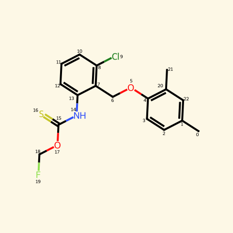 Cc1ccc(OCc2c(Cl)cccc2NC(=S)OCF)c(C)c1